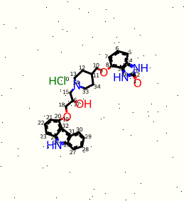 Cl.O=c1[nH]c2cccc(OCC3CCN(CC(O)COc4cccc5[nH]c6ccccc6c45)CC3)c2[nH]1